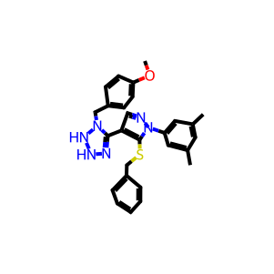 COc1ccc(CN2NNN=C2c2cnn(-c3cc(C)cc(C)c3)c2SCc2ccccc2)cc1